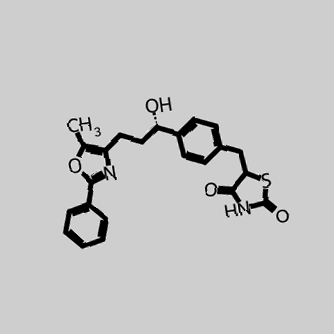 Cc1oc(-c2ccccc2)nc1CC[C@H](O)c1ccc(CC2SC(=O)NC2=O)cc1